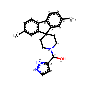 Cc1ccc2c(c1)C1(CCN(C(O)c3ccn[nH]3)CC1)c1cc(C)ccc1-2